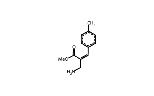 COC(=O)C(=Cc1ccc(C)cc1)CN